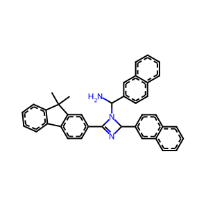 CC1(C)c2ccccc2-c2ccc(C3=NC(c4ccc5ccccc5c4)N3C(N)c3ccc4ccccc4c3)cc21